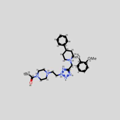 COc1cccc([C@H](c2nnn(CCN3CCN(C(=O)C(C)(C)C)CC3)n2)N2CCC(c3ccccc3)CC2)c1OC